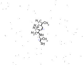 C=C(/C=C\C(C)=C(C)C)C(=C)NC/C(C)=C/S